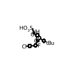 CC(C)(C)c1ccc(C(Cc2ccc(C(=O)NCCS(=O)(=O)O)cc2)c2cc(-c3cc(-c4ccc(Cl)cc4)ccc3F)on2)cc1